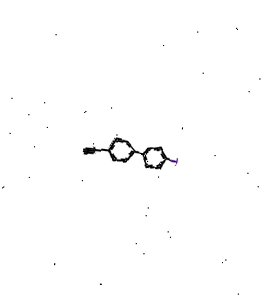 C#Cc1ccc(-c2ccc(I)cc2)cc1